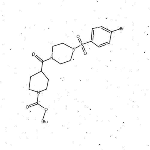 CC(C)(C)OC(=O)N1CCC(C(=O)N2CCN(S(=O)(=O)c3ccc(Br)cc3)CC2)CC1